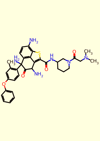 Cc1cc(Oc2ccccc2)ccc1C1(N)C(=O)C(N)c2c(C(=O)NC3CCCN(C(=O)CN(C)C)C3)sc3c(N)ccc1c23